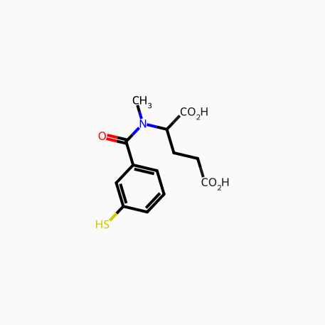 CN(C(=O)c1cccc(S)c1)C(CCC(=O)O)C(=O)O